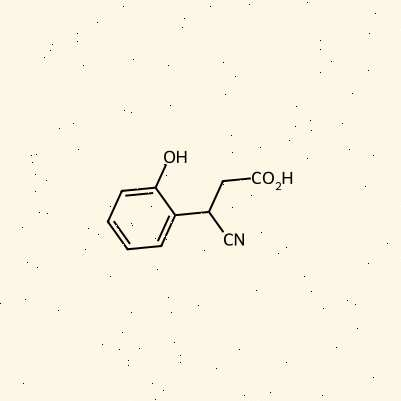 N#CC(CC(=O)O)c1ccccc1O